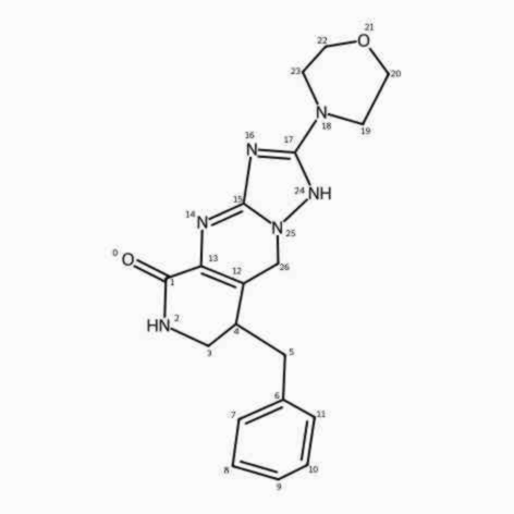 O=C1NCC(Cc2ccccc2)C2=C1N=C1N=C(N3CCOCC3)NN1C2